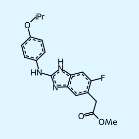 COC(=O)Cc1cc2nc(Nc3ccc(OC(C)C)cc3)[nH]c2cc1F